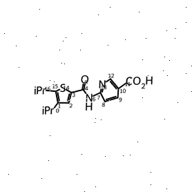 CC(C)c1cc(C(=O)Nc2ccc(C(=O)O)cn2)sc1C(C)C